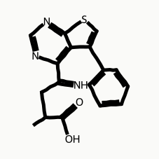 CC(CC(=N)c1ncnc2scc(-c3ccccc3)c12)C(=O)O